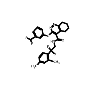 Cc1ccc(C(F)(F)CNC(=O)c2c(Oc3cccc(C(F)F)c3)nnc3c2CCCC3)c(C)c1